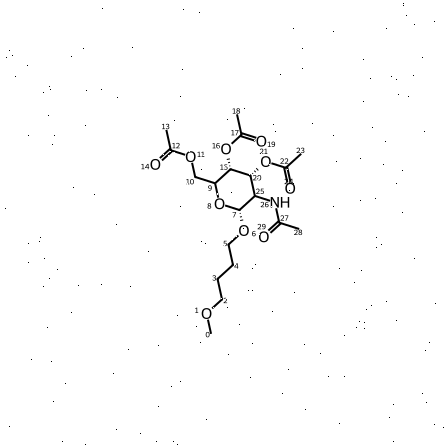 COCCCCO[C@@H]1OC(COC(C)=O)[C@H](OC(C)=O)[C@H](OC(C)=O)C1NC(C)=O